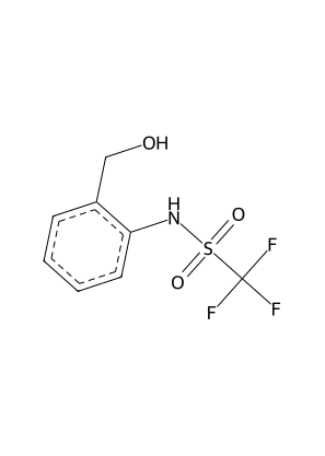 O=S(=O)(Nc1ccccc1CO)C(F)(F)F